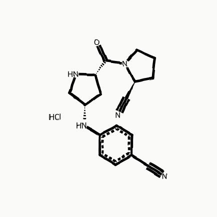 Cl.N#Cc1ccc(N[C@@H]2CN[C@H](C(=O)N3CCC[C@H]3C#N)C2)cc1